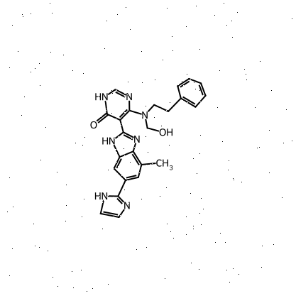 Cc1cc(-c2ncc[nH]2)cc2[nH]c(-c3c(N(CO)CCc4ccccc4)nc[nH]c3=O)nc12